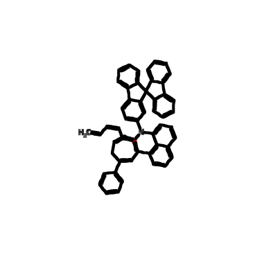 C=C/C=C\C=C/N(c1ccc2c(c1)C1(c3ccccc3-c3ccccc31)c1ccccc1-2)c1cccc2cccc(C3=CC=CCC(c4ccccc4)=C3)c12